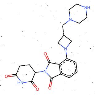 O=C1CCC(N2C(=O)c3cccc(N4CC(CN5CCNCC5)C4)c3C2=O)C(=O)N1